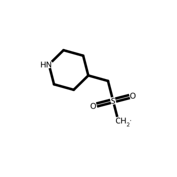 [CH2]S(=O)(=O)CC1CCNCC1